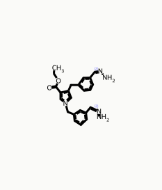 CCOC(=O)c1cn(Cc2cccc(/C=N\N)c2)cc1Cc1cccc(/C=N\N)c1